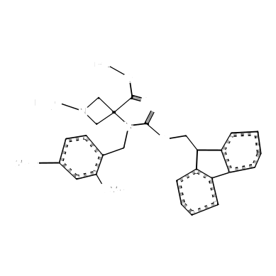 COc1ccc(CN(C(=O)OCC2c3ccccc3-c3ccccc32)C2(C(=O)OC(C)(C)C)CN(C(=O)O)C2)c(OC)c1